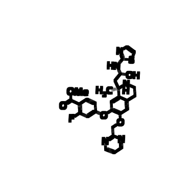 COC(=O)c1ccc(Oc2cc3c(cc2OCc2ncccn2)CCN[C@]3(C)CC(O)Nc2nccs2)cc1F